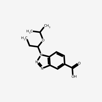 CCC(OC(C)C)n1nnc2cc(C(=O)O)ccc21